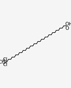 O=C(O)CCCCCCCCCCCCCCCCCCCCCCCCCCCCCCCC[Si](Cl)(Cl)Cl